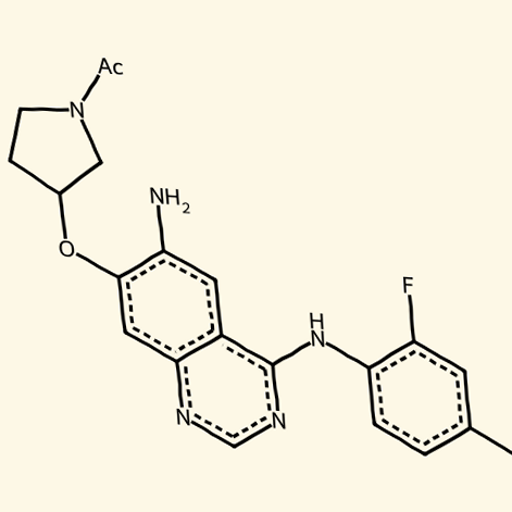 CC(=O)N1CCC(Oc2cc3ncnc(Nc4ccc(Br)cc4F)c3cc2N)C1